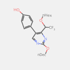 CCCCCCCCCCOc1ncc(-c2ccc(O)cc2)c(C(OCCCCCC)C(F)(F)F)n1